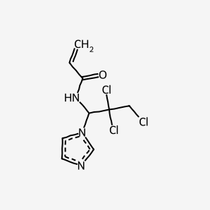 C=CC(=O)NC(n1ccnc1)C(Cl)(Cl)CCl